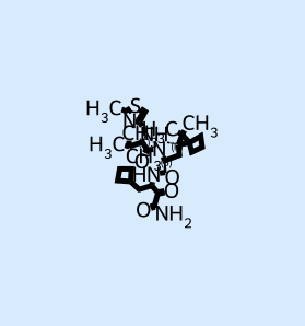 Cc1nc(N[C@H](C(=O)N2C[C@]3(C[C@H]2C(=O)NC(CC2CCC2)C(=O)C(N)=O)C(C)(C)C32CCC2)C(C)(C)C)cs1